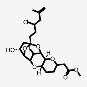 C=C(I)CC(Cl)CC[C@]12C[C@@H](O)C(O1)C1O[C@H]3CCC(CC(=O)OC)O[C@@H]3C(O2)C1I